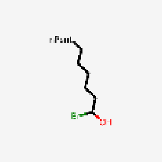 CCCCCCCCCCC(O)Br